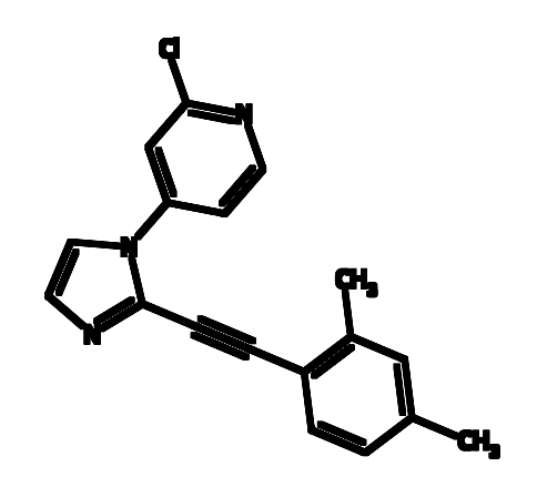 Cc1ccc(C#Cc2nccn2-c2ccnc(Cl)c2)c(C)c1